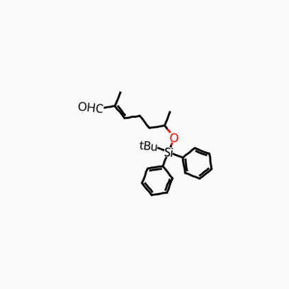 CC(C=O)=CCCC(C)O[Si](c1ccccc1)(c1ccccc1)C(C)(C)C